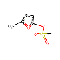 CS(=O)(=O)Oc1ccc([N+](=O)[O-])o1